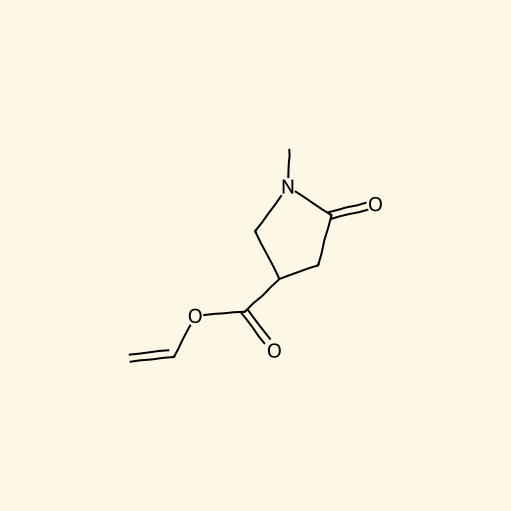 C=COC(=O)C1CC(=O)N(C)C1